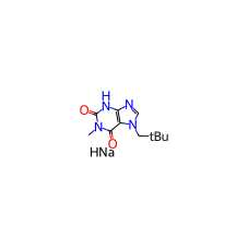 Cn1c(=O)[nH]c2ncn(CC(C)(C)C)c2c1=O.[NaH]